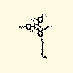 CCCCCCCCOc1ccc(-c2nc(-c3ccc(C)cc3C)nc(-c3ccc(C)cc3C)n2)c(OCCC)c1